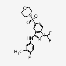 Cc1cc(Nc2nn(C(F)F)c3ccc(S(=O)(=O)N4CCOCC4)cc23)ccc1F